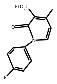 CCOC(=O)c1c(C)ccn(-c2ccc(F)cc2)c1=O